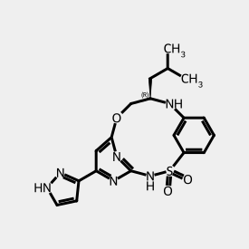 CC(C)C[C@@H]1COc2cc(-c3cc[nH]n3)nc(n2)NS(=O)(=O)c2cccc(c2)N1